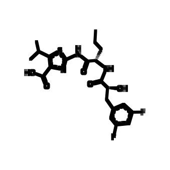 CCC[C@H](NC(=O)[C@@H](O)Cc1cc(F)cc(F)c1)C(=O)Nc1nc(C(=O)O)c(C(C)C)s1